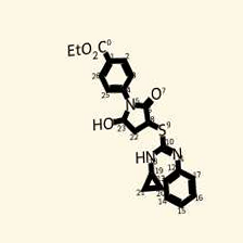 CCOC(=O)c1ccc(N2C(=O)C(S/C(=N/c3ccccc3)NC3CC3)CC2O)cc1